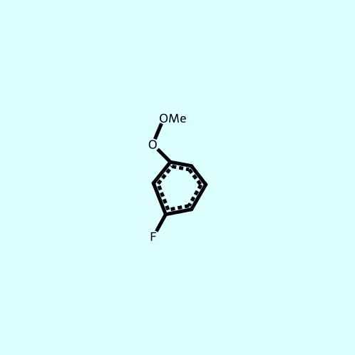 COOc1cccc(F)c1